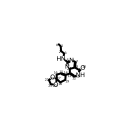 CCCCNc1ncc2c(=O)[nH]cc(C3=CCC4(CC3)OCCO4)c2n1